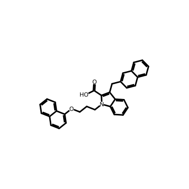 O=C(O)c1c(Cc2ccc3ccccc3c2)c2ccccc2n1CCCOc1cccc2ccccc12